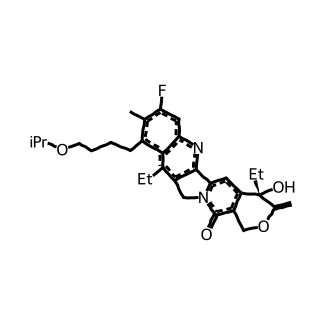 C=C1OCc2c(cc3n(c2=O)Cc2c-3nc3cc(F)c(C)c(CCCCOC(C)C)c3c2CC)[C@@]1(O)CC